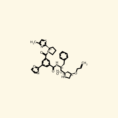 C=CCO[C@H]1CN[C@@H]([C@H](O)[C@H](Cc2ccccc2)NC(=O)c2cc(C(=O)N3CCC[C@@H]3c3nc(C)cs3)cc(-c3ncco3)c2)C1